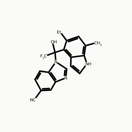 CCc1cc(C)c2[nH]ccc2c1C(O)(n1cnc2cc(C#N)ccc21)C(F)(F)F